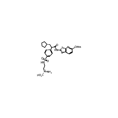 COc1ccc2nc(NC(=O)C(CC3CCCC3)c3ccc(S(=O)(=O)NCC[C@H](N)C(=O)O)cc3)sc2n1